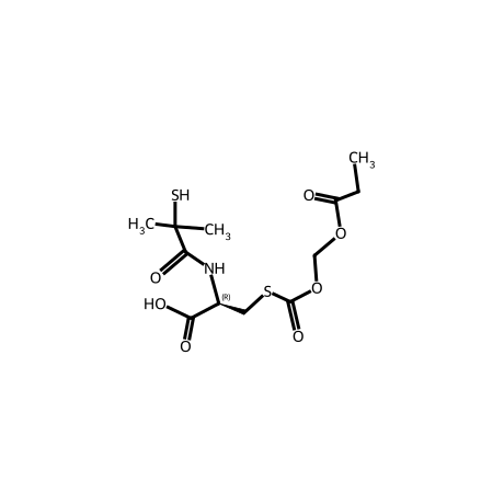 CCC(=O)OCOC(=O)SC[C@H](NC(=O)C(C)(C)S)C(=O)O